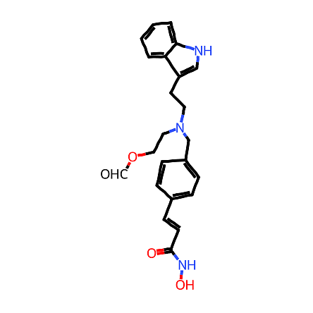 O=COCCN(CCc1c[nH]c2ccccc12)Cc1ccc(/C=C/C(=O)NO)cc1